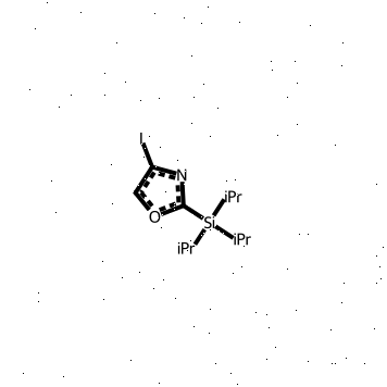 CC(C)[Si](c1nc(I)co1)(C(C)C)C(C)C